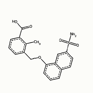 Cc1c(COc2cccc3ccc(S(N)(=O)=O)cc23)cccc1C(=O)O